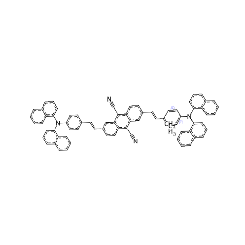 C=C(C=Cc1ccc2c(C#N)c3cc(C=Cc4ccc(N(c5cccc6ccccc56)c5cccc6ccccc56)cc4)ccc3c(C#N)c2c1)/C=C\C(=C/C)N(c1cccc2ccccc12)c1cccc2ccccc12